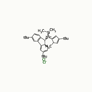 CC1C=C(C(C)(C)C)C=[C]1[Zr+2]([CH]1c2ccc(C(C)(C)C)cc2-c2cc(C(C)(C)C)ccc21)=[Si](C)C.[Cl-].[Cl-]